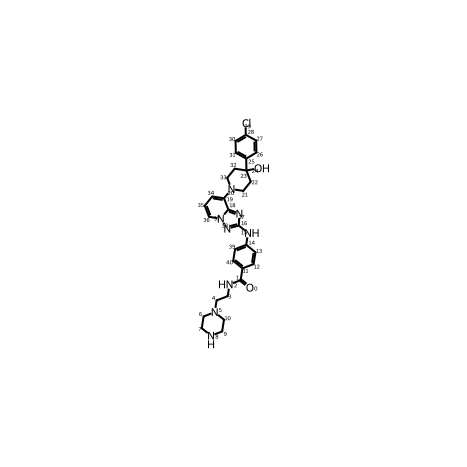 O=C(NCCN1CCNCC1)c1ccc(Nc2nc3c(N4CCC(O)(c5ccc(Cl)cc5)CC4)cccn3n2)cc1